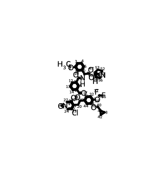 COc1cccc(C(NC(=O)c2cccc(C(=O)OC(Cc3c(Cl)c[n+]([O-])cc3Cl)c3ccc(OC(F)F)c(OCC4CC4)c3)c2)C(=O)O[C@H]2CN3CCC2CC3)c1